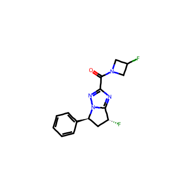 O=C(c1nc2n(n1)[C@H](c1ccccc1)C[C@H]2F)N1CC(F)C1